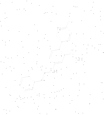 N[S+]([O-])c1cc(NC(=O)Cc2ccccc2Br)ccc1-c1ccc(Cl)nc1